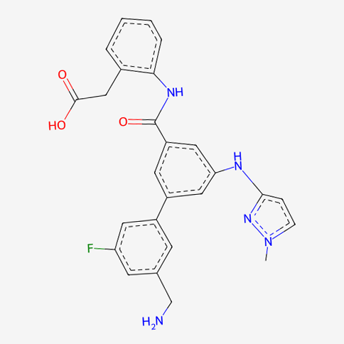 Cn1ccc(Nc2cc(C(=O)Nc3ccccc3CC(=O)O)cc(-c3cc(F)cc(CN)c3)c2)n1